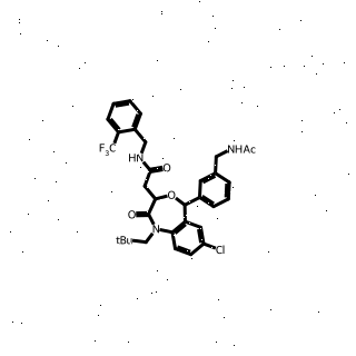 CC(=O)NCc1cccc(C2OC(CC(=O)NCc3ccccc3C(F)(F)F)C(=O)N(CC(C)(C)C)c3ccc(Cl)cc32)c1